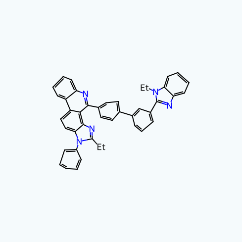 CCc1nc2c3c(-c4ccc(-c5cccc(-c6nc7ccccc7n6CC)c5)cc4)nc4ccccc4c3ccc2n1-c1ccccc1